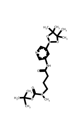 CN(CCCC(=O)Nc1cncc(B2OC(C)(C)C(C)(C)O2)c1)C(=O)OC(C)(C)C